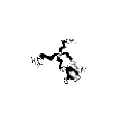 CCCC[N+](CCCC)(CCCC)CCCC.O=C([O-])/C=C\C(=O)[O-].[K+]